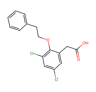 O=C(O)Cc1cc(Cl)cc(Cl)c1OCCc1ccccc1